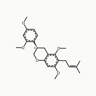 COc1ccc([C@@H]2COc3cc(OC)c(CC=C(C)C)c(OC)c3C2)c(OC)c1